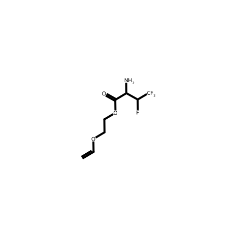 C=COCCOC(=O)C(N)C(F)C(F)(F)F